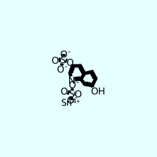 O=S(=O)([O-])[O-].O=S(=O)([O-])[O-].Oc1ccc2cccnc2c1.[Sn+4]